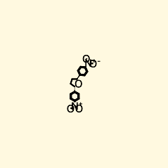 O=[N+]([O-])c1ccc([C@@H]2CC[C@@H](c3ccc([N+](=O)[O-])cc3)O2)cc1